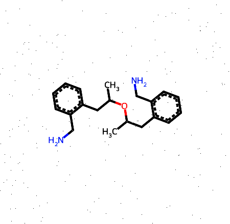 CC(Cc1ccccc1CN)OC(C)Cc1ccccc1CN